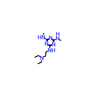 CCN(CC)CCNc1nc(NC)nc(NC)n1